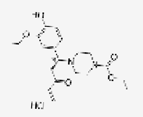 C=CC(=O)C[C@@H](c1ccc(O)c(OCC)c1)N1CCN(C(=O)OCC)CC1.Cl